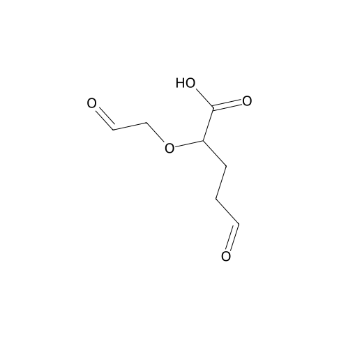 O=CCCC(OCC=O)C(=O)O